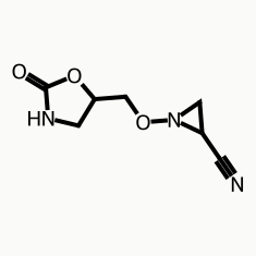 N#CC1CN1OCC1CNC(=O)O1